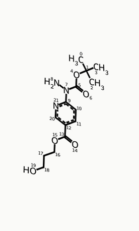 CC(C)(C)OC(=O)N(N)c1ccc(C(=O)OCCCO)cn1